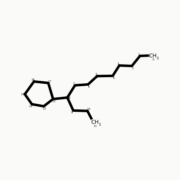 CCCCCCCCC(CCC)C1CCCCC1